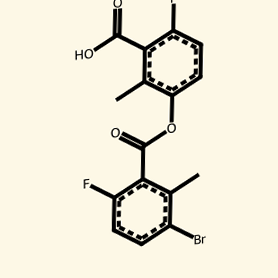 Cc1c(Br)ccc(F)c1C(=O)Oc1ccc(F)c(C(=O)O)c1C